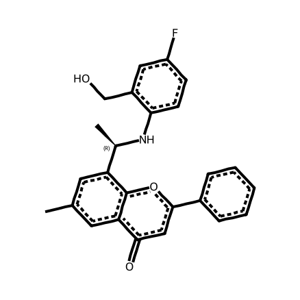 Cc1cc([C@@H](C)Nc2ccc(F)cc2CO)c2oc(-c3ccccc3)cc(=O)c2c1